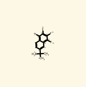 BC(C)(C)c1ccc2c(F)c(F)c(F)c(F)c2c1